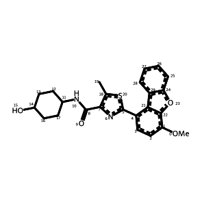 COc1ccc(-c2nc(C(=O)NC3CCC(O)CC3)c(C)s2)c2c1oc1ccccc12